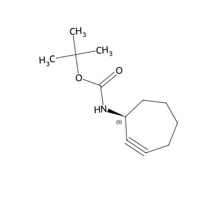 CC(C)(C)OC(=O)N[C@@H]1C#CCCCC1